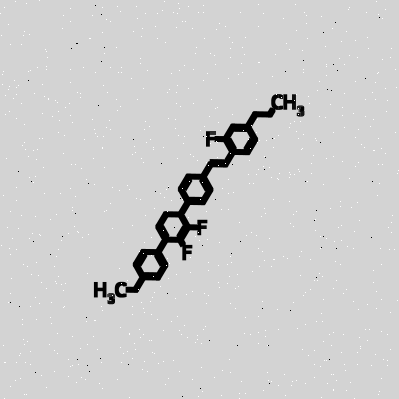 CCCc1ccc(/C=C/c2ccc(C3CC=C(c4ccc(CC)cc4)C(F)=C3F)cc2)c(F)c1